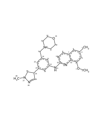 COc1cc(C)cc2cnc(Nc3cc(CN4CCOCC4)cc(C4C=NN(C)C4)c3)nc12